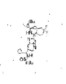 CCCC[S@+]([O-])NC(c1cnn2cc([C@@H](NC(=O)OC(C)(C)C)C3CCC(F)(F)CC3)nc2c1)C1CCC1